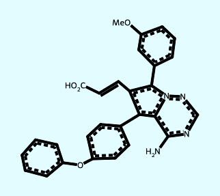 COc1cccc(-c2c(C=CC(=O)O)c(-c3ccc(Oc4ccccc4)cc3)c3c(N)ncnn23)c1